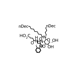 CCCCCCCCCCCCCCCCCC(=O)N(CCCCCCCCCCCCCC)[C@@H]1O[C@H](CO)[C@@H](O)[C@H](O)[C@@H]1NC(=O)[C@H](Cc1ccccc1)NC(=O)CCC(=O)O